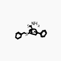 NC(=S)C12CC3CC(c4ccccc4)(CC1C3SCC1=CCCC=C1)C2